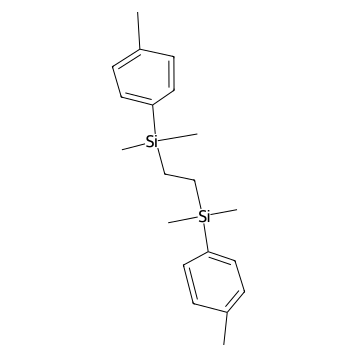 Cc1ccc([Si](C)(C)CC[Si](C)(C)c2ccc(C)cc2)cc1